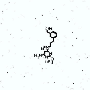 CCCCOc1nc(N)c2ncn(CCCc3cccc(CO)c3)c2n1